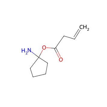 C=CCC(=O)OC1(N)CCCC1